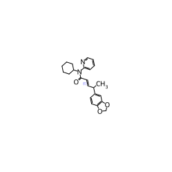 CC(/C=C/C(=O)N(c1ccccn1)C1CCCCC1)c1ccc2c(c1)OCO2